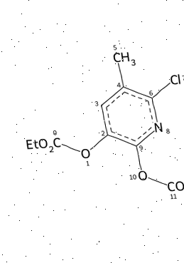 CCOC(=O)Oc1cc(C)c(Cl)nc1OC(=O)OCC